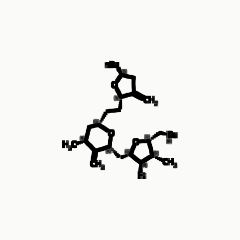 C=C1C[C@H](CCCC)O[C@H]1CC[C@H]1C[C@@H](C)C(=C)[C@@H](C[C@@H]2O[C@H](C[C@H](C)CC)[C@H](C)[C@H]2CC)O1